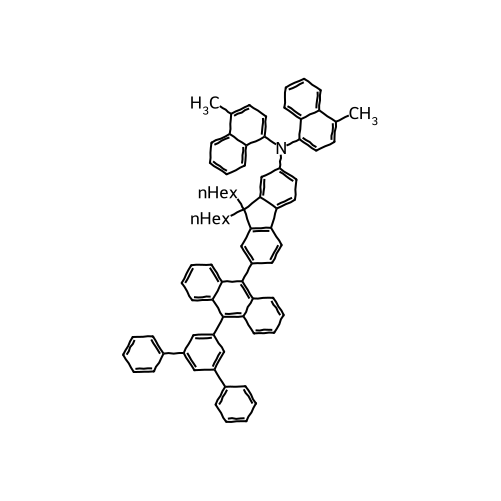 CCCCCCC1(CCCCCC)c2cc(-c3c4ccccc4c(-c4cc(-c5ccccc5)cc(-c5ccccc5)c4)c4ccccc34)ccc2-c2ccc(N(c3ccc(C)c4ccccc34)c3ccc(C)c4ccccc34)cc21